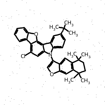 CC(C)(C)c1ccc2c(c1)c1c3oc4ccccc4c3c(Cl)cc1n2-c1coc2cc3c(cc12)C(C)(C)CCC3(C)C